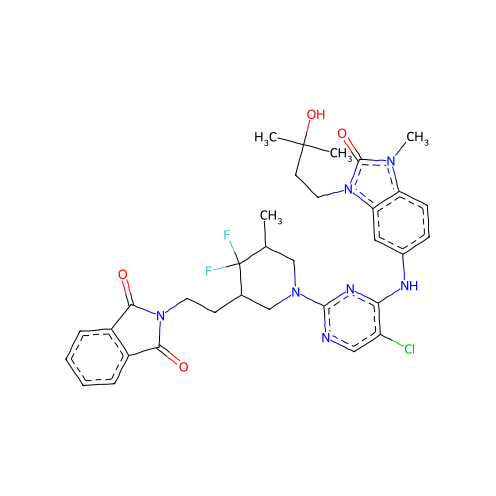 CC1CN(c2ncc(Cl)c(Nc3ccc4c(c3)n(CCC(C)(C)O)c(=O)n4C)n2)CC(CCN2C(=O)c3ccccc3C2=O)C1(F)F